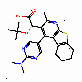 Cc1nc2sc3c(c2c(-c2cnc(N(C)C)nc2)c1[C@H](OC(C)(C)C)C(=O)O)CCCC3